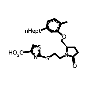 CCCCCCCc1ccc(C)c(OC[C@H]2CCC(=O)N2CCSc2nc(C(=O)O)cs2)c1